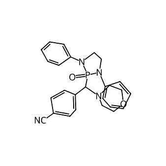 N#Cc1ccc(C(N2CCOCC2)P2(=O)N(c3ccccc3)CCN2c2ccccc2)cc1